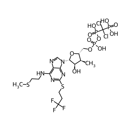 CSCCNc1nc(SCCC(F)(F)F)nc2c1ncn2[C@@H]1O[C@H](COP(=O)(O)OP(=O)(O)C(Cl)(Cl)P(=O)(O)O)[C@@H](C)[C@H]1O